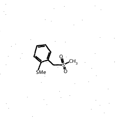 CSc1ccccc1CS(C)(=O)=O